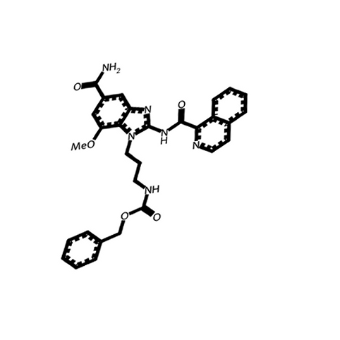 COc1cc(C(N)=O)cc2nc(NC(=O)c3nccc4ccccc34)n(CCCNC(=O)OCc3ccccc3)c12